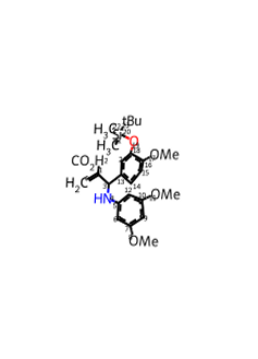 C=C(C(=O)O)C(Nc1cc(OC)cc(OC)c1)c1ccc(OC)c(O[Si](C)(C)C(C)(C)C)c1